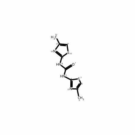 Cc1csc(NC(=O)Nc2nc(C)cs2)n1